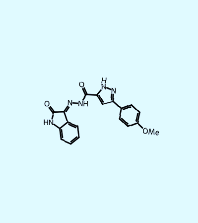 COc1ccc(-c2cc(C(=O)N/N=C3/C(=O)Nc4ccccc43)[nH]n2)cc1